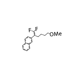 COCCCCC(=C(F)F)c1ccc2ccccc2c1